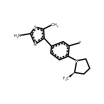 Cc1sc(N)nc1-c1ccc(N2CCC[C@H]2C(F)(F)F)c(F)c1